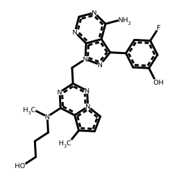 Cc1ccn2nc(Cn3nc(-c4cc(O)cc(F)c4)c4c(N)ncnc43)nc(N(C)CCCO)c12